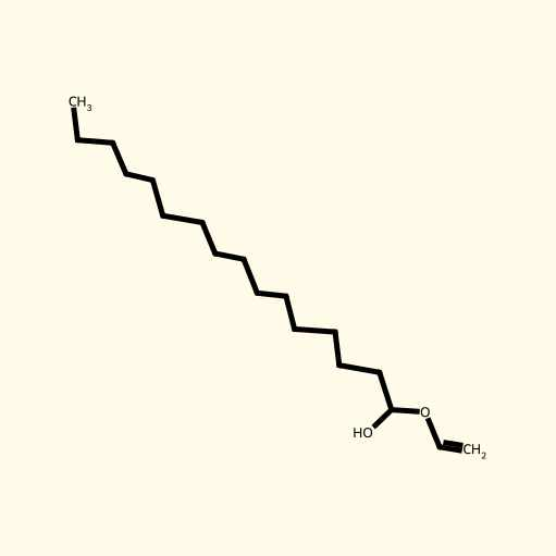 C=COC(O)CCCCCCCCCCCCCCC